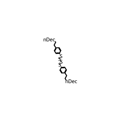 CCCCCCCCCCCCc1ccc(SSSSc2ccc(CCCCCCCCCCCC)cc2)cc1